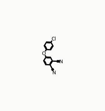 N#Cc1ccc(Oc2ccc(Cl)cc2)cc1C#N